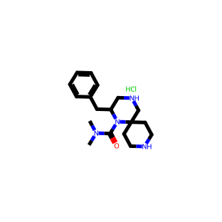 CN(C)C(=O)N1C(Cc2ccccc2)CNCC12CCNCC2.Cl